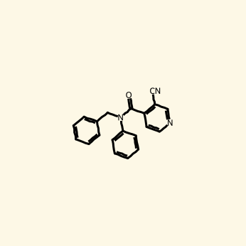 N#Cc1cnccc1C(=O)N(Cc1ccccc1)c1ccccc1